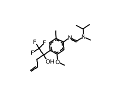 C=CCC(O)(c1cc(C)c(/N=C/N(C)C(C)C)cc1OC)C(F)(F)F